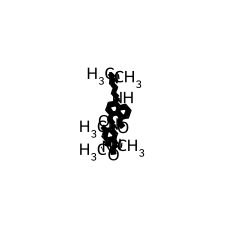 Cc1cc2c(cc1N1C(=O)c3cccc4c(NCCCN(C)C)ccc(c34)C1=O)n(C)c(=O)n2C